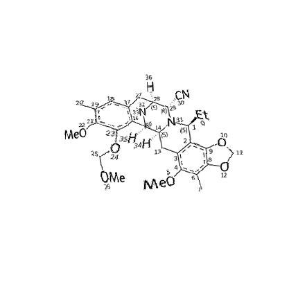 CC[C@H]1c2c(c(OC)c(C)c3c2OCO3)C[C@H]2[C@H]3c4c(cc(C)c(OC)c4OCOC)C[C@@H]([C@H](C#N)N12)N3C